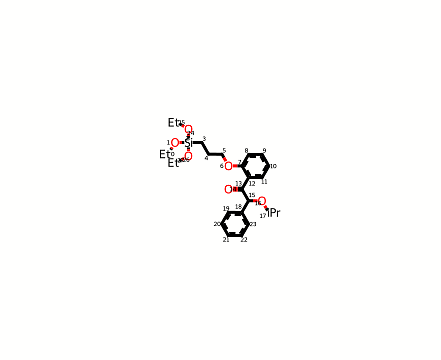 CCO[Si](CCCOc1ccccc1C(=O)C(OC(C)C)c1ccccc1)(OCC)OCC